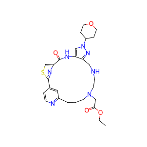 CCOC(=O)CN1CCCc2cc(ccn2)-c2nc(cs2)C(=O)Nc2cn(C3CCOCC3)nc2CNCC1